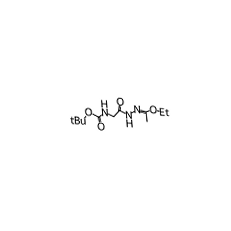 CCO/C(C)=N/NC(=O)CNC(=O)OC(C)(C)C